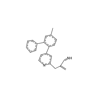 C=C(C=N)Cc1cc(-c2ccc(C)cc2-c2ccccc2)ccn1